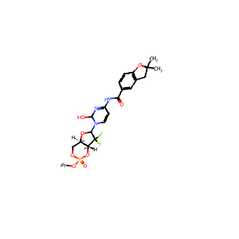 CC(C)OP1(=O)OC[C@H]2OC(N3C=CC(NC(=O)c4ccc5c(c4)CC(C)(C)O5)=NC3O)C(F)(F)[C@@H]2O1